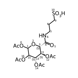 CC(=O)OC1O[C@H](C(=O)NCCCS(=O)(=O)O)[C@@H](OC(C)=O)[C@H](OC(C)=O)C1OC(C)=O